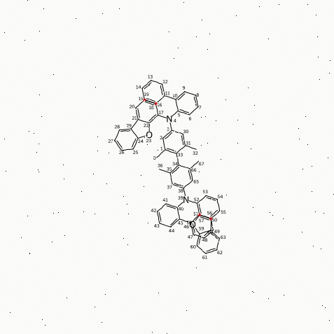 Cc1cc(N(c2ccccc2-c2ccccc2)c2cccc3c2oc2ccccc23)cc(C)c1-c1c(C)cc(N(c2ccccc2-c2ccccc2)c2cccc3c2oc2ccccc23)cc1C